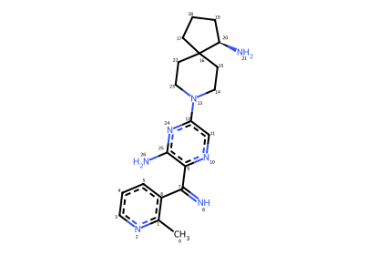 Cc1ncccc1C(=N)c1ncc(N2CCC3(CCC[C@H]3N)CC2)nc1N